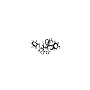 C[C@@H](C(=O)N1C(=O)OCC1Cc1ccccc1)[C@@H](O)c1ccc(Cl)cc1